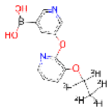 [2H]C([2H])([2H])C([2H])([2H])Oc1cccnc1Oc1cncc(B(O)O)c1